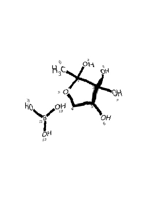 CC1(O)OCC(O)C1(O)O.OB(O)O